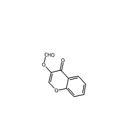 O=COc1coc2ccccc2c1=O